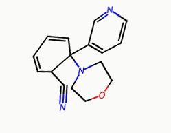 N#CC1C=CC=CC1(c1cccnc1)N1CCOCC1